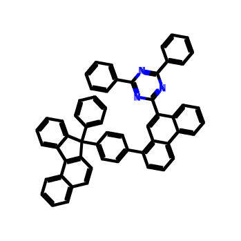 c1ccc(-c2nc(-c3ccccc3)nc(-c3cc4c(-c5ccc(C6(c7ccccc7)c7ccccc7-c7c6ccc6ccccc76)cc5)cccc4c4ccccc34)n2)cc1